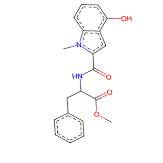 COC(=O)C(Cc1ccccc1)NC(=O)c1cc2c(O)cccc2n1C